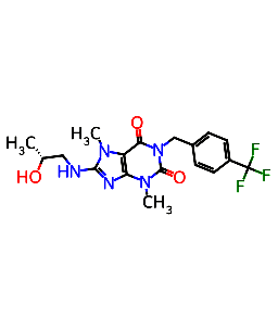 C[C@@H](O)CNc1nc2c(c(=O)n(Cc3ccc(C(F)(F)F)cc3)c(=O)n2C)n1C